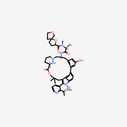 CCn1c(-c2cccnc2[C@H](C)OC)c2c3cc(ccc31)-c1cc(O)cc(c1)C[C@H](NC(=O)[C@H](C(C)C)N(C)C(=O)C1CCC3(CCOC3)O1)CN1CCC[C@H](N1)C(=O)OCC(C)(C)C2